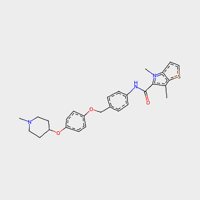 Cc1c(C(=O)Nc2ccc(COc3ccc(OC4CCN(C)CC4)cc3)cc2)n(C)c2ccsc12